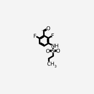 CCCS(=O)(=O)Nc1ccc(F)c([C]=O)c1F